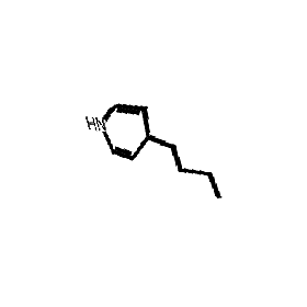 CCCCC1C=CNC=C1